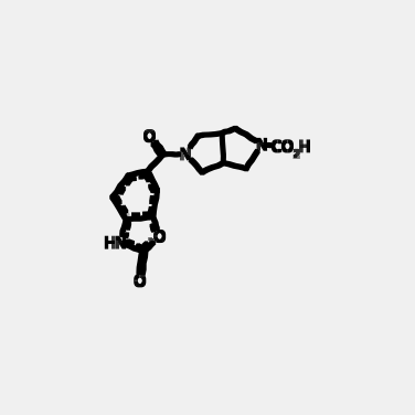 O=C(O)N1CC2CN(C(=O)c3ccc4[nH]c(=O)oc4c3)CC2C1